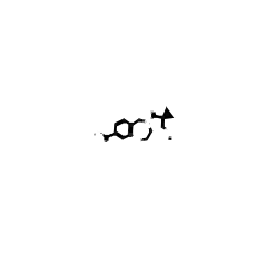 COCC1(C(=O)N2CCOc3cc(C(=O)NO)ccc3C2)CC1